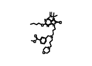 CCCCOc1nc2c3c(n1)n(CCCN(CCCN1CCOCC1)Cc1cccc(C(=O)OC)c1)c(=O)n3C(C)(C)N2